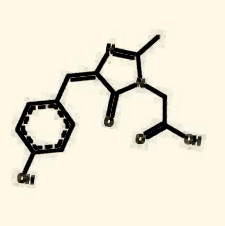 CC1=N/C(=C/c2ccc(O)cc2)C(=O)N1CC(=O)O